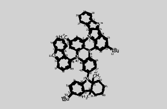 Cc1cc2c3c(c1)-n1c4c(cc(C(C)(C)C)cc4c4sc5ccccc5c41)B3c1ccc(N3c4ccc(C(C)(C)C)cc4C4(C)CCCCC34C)cc1N2c1cccc2oc3ccccc3c12